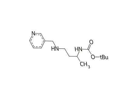 CC(CCNCc1cccnc1)NC(=O)OC(C)(C)C